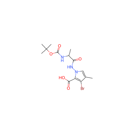 Cc1cn(NC(=O)C(C)NC(=O)OC(C)(C)C)c(C(=O)O)c1Br